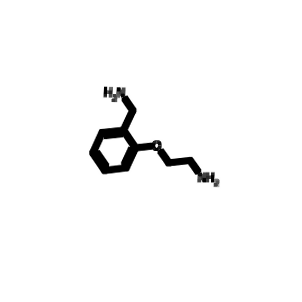 NCCOc1ccccc1CN